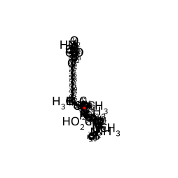 Cc1c(Nc2nc3ccccc3s2)nnc2c1CCCN2c1ccc(-c2cnn(CC34CC5(C)CC(C)(C3)CC(OCCN(C)CCCCCCCCCCCCCCCOc3ccc6c(c3)C(=O)N(C3CCC(=O)NC3=O)C6=O)(C5)C4)c2C)c(C(=O)O)n1